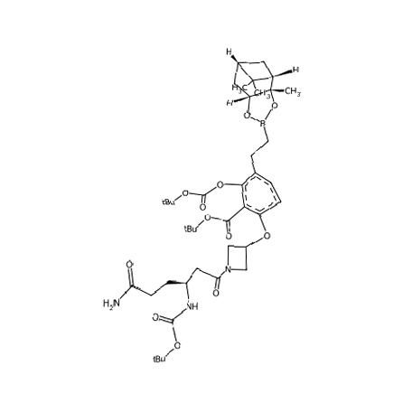 CC(C)(C)OC(=O)N[C@@H](CCC(N)=O)CC(=O)N1CC(Oc2ccc(CCB3O[C@@H]4C[C@@H]5C[C@@H](C5(C)C)[C@]4(C)O3)c(OC(=O)OC(C)(C)C)c2C(=O)OC(C)(C)C)C1